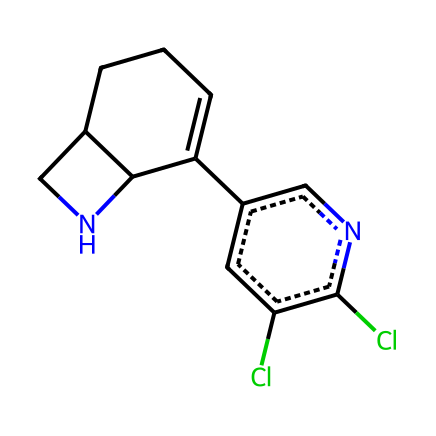 Clc1cc(C2=CCCC3CNC23)cnc1Cl